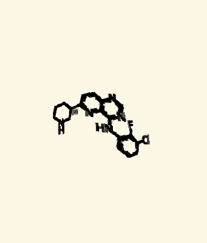 Fc1c(Cl)cccc1Nc1ncnc2ccc([C@@H]3CCCNC3)nc12